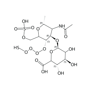 CC(=O)NC1[C@@H](O[C@@H]2OC(C(=O)O)[C@@H](O)[C@H](O)C2O)[C@H](OOOOS)C(COS(=O)(=O)O)O[C@@H]1C